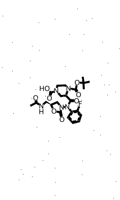 CC(=O)NC[C@H]1CN(N(C(=O)C2CN(C(=O)O)CCN2C(=O)OC(C)(C)C)c2ccccc2F)C(=O)O1